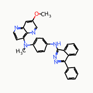 COc1cnc2c(N(C)c3ccc(Nc4nnc(-c5ccccc5)c5ccccc45)cc3)ccnc2c1